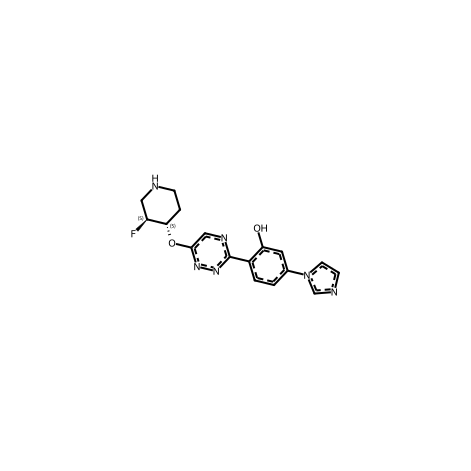 Oc1cc(-n2ccnc2)ccc1-c1ncc(O[C@H]2CCNC[C@@H]2F)nn1